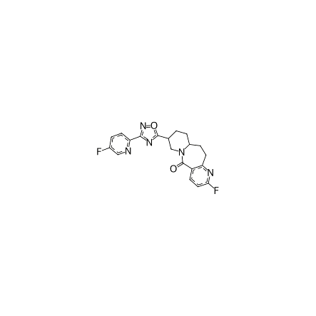 O=C1c2ccc(F)nc2CCC2CCC(c3nc(-c4ccc(F)cn4)no3)CN12